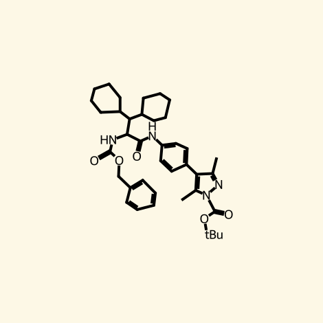 Cc1nn(C(=O)OC(C)(C)C)c(C)c1-c1ccc(NC(=O)C(NC(=O)OCc2ccccc2)C(C2CCCCC2)C2CCCCC2)cc1